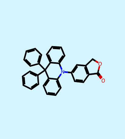 O=C1OCc2cc(N3c4ccccc4C(c4ccccc4)(c4ccccc4)c4ccccc43)ccc21